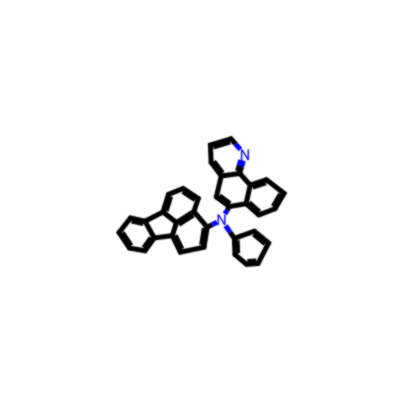 c1ccc(N(c2ccc3c4c(cccc24)-c2ccccc2-3)c2cc3cccnc3c3ccccc23)cc1